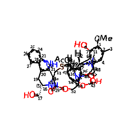 COc1c(C)cc2c(c1O)[C@H]1[C@@H]3[C@@H]4SC[C@]5(N[C@H](CO)Cc6c5[nH]c5ccccc65)C(=O)OCC(c5c6c(c(C)c(OC(C)=O)c54)OCO6)N3C(O)(C2)CN1C